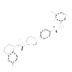 C[C@H](C(=O)N1CCN(c2ccc(S(=O)(=O)Nc3cncc(Cl)n3)cc2)CC1)N1CCCc2cc(Cl)ccc21